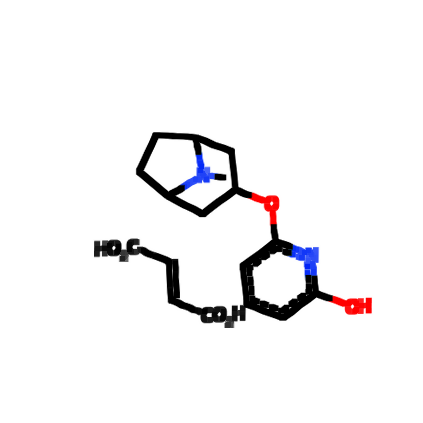 CN1C2CCC1CC(Oc1cccc(O)n1)C2.O=C(O)/C=C/C(=O)O